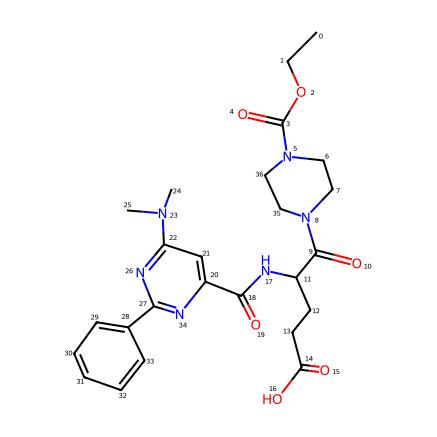 CCOC(=O)N1CCN(C(=O)C(CCC(=O)O)NC(=O)c2cc(N(C)C)nc(-c3ccccc3)n2)CC1